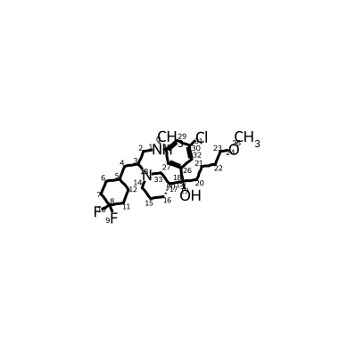 CNCC(CC1CCC(F)(F)CC1)N1CCC[C@@H]([C@@](O)(CCCCOC)c2cccc(Cl)c2)C1